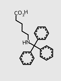 O=C(O)CCCCNC(c1ccccc1)(c1ccccc1)c1ccccc1